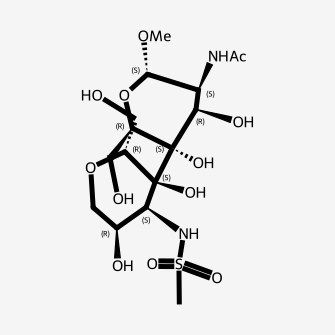 CO[C@H]1O[C@H](CO)[C@](O)([C@@]2(O)[C@@H](CO)OC[C@H](O)[C@@H]2NS(C)(=O)=O)[C@H](O)[C@@H]1NC(C)=O